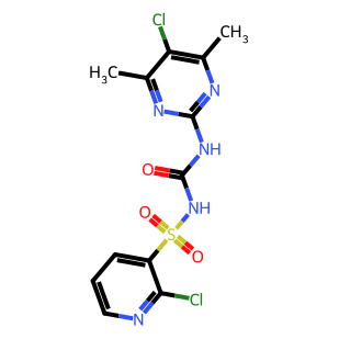 Cc1nc(NC(=O)NS(=O)(=O)c2cccnc2Cl)nc(C)c1Cl